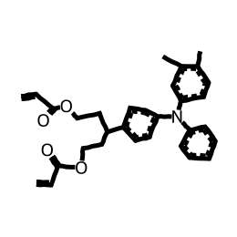 C=CC(=O)OCCC(CCOC(=O)C=C)c1ccc(N(c2ccccc2)c2ccc(C)c(C)c2)cc1